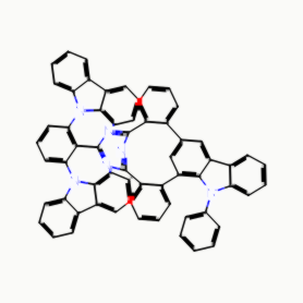 c1ccc(-n2c3ccccc3c3cc4cc(c5ccccc5c5nc(-c6c(-n7c8ccccc8c8ccccc87)cccc6-n6c7ccccc7c7ccccc76)nc(n5)c5ccccc45)c32)cc1